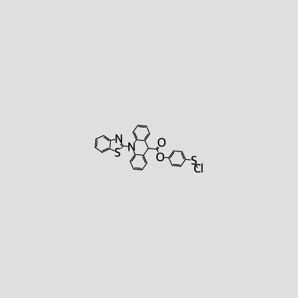 O=C(Oc1ccc(SCl)cc1)C1c2ccccc2N(c2nc3ccccc3s2)c2ccccc21